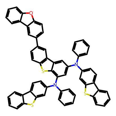 c1ccc(N(c2ccc3c(c2)sc2ccccc23)c2cc(N(c3ccccc3)c3ccc4c(c3)sc3ccccc34)c3sc4ccc(-c5ccc6oc7ccccc7c6c5)cc4c3c2)cc1